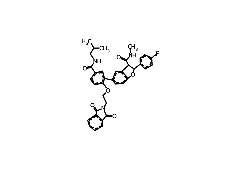 CNC(=O)C1c2cc(-c3cc(C(=O)NCC(C)C)ccc3OCCN3C(=O)c4ccccc4C3=O)ccc2OC1c1ccc(F)cc1